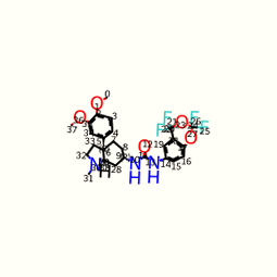 COc1ccc([C@@]23CC[C@@H](NC(=O)Nc4ccc5c(c4)C(F)(F)OC(F)(F)O5)C[C@@H]2N(C)CC3)cc1OC